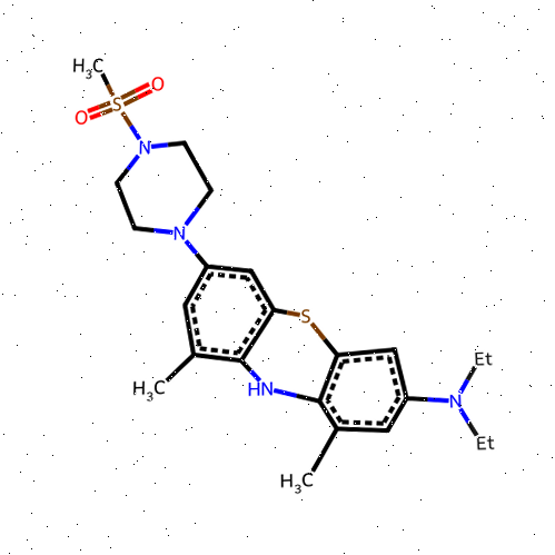 CCN(CC)c1cc(C)c2c(c1)Sc1cc(N3CCN(S(C)(=O)=O)CC3)cc(C)c1N2